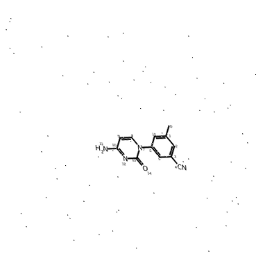 Cc1cc(C#N)cc(-n2ccc(N)nc2=O)c1